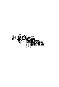 COc1nc(N)c2c(n1)C[C@@H](C)N(c1ccc([C@H]3CC[C@H](C(C)C(=O)O)CC3)cc1)C2=O